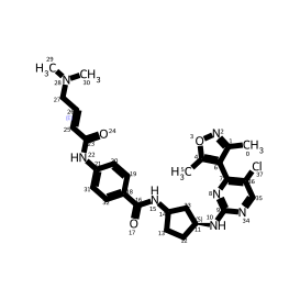 Cc1noc(C)c1-c1nc(N[C@H]2CCC(NC(=O)c3ccc(NC(=O)/C=C/CN(C)C)cc3)C2)ncc1Cl